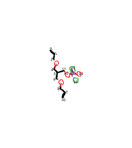 C=CCOCC(COCC=C)COP(=O)(Cl)Cl